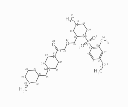 COc1ccc(S(=O)(=O)N2CCN(C)CC2COCC(=O)N2CCN(CC3CCCN(C)C3)CC2)c(C)c1